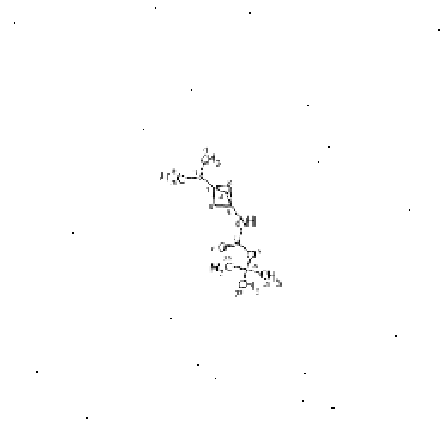 C[C](C)C12CC(NC(=O)OC(C)(C)C)(C1)C2